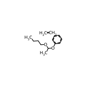 C=C.CCCCOC(C)Oc1ccccc1